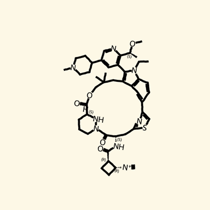 C#[N+][C@@H]1CC[C@H]1C(=O)N[C@H]1Cc2nc(cs2)-c2ccc3c(c2)c(c(-c2cc(C4CCN(C)CC4)cnc2[C@H](C)OC)n3CC)CC(C)(C)COC(=O)[C@@H]2CCCN(N2)C1=O